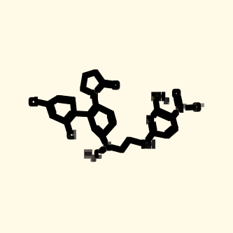 CN(CCNc1ccc([N+](=O)[O-])c(N)n1)c1ccc(N2CCCC2=O)c(-c2ccc(Cl)cc2Cl)c1